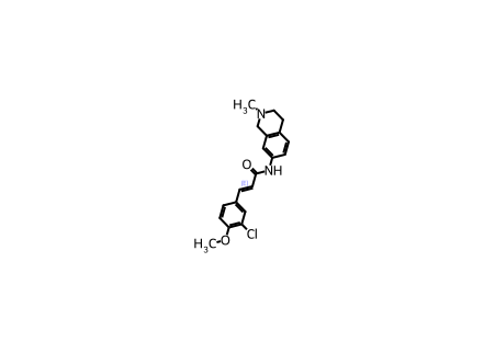 COc1ccc(/C=C/C(=O)Nc2ccc3c(c2)CN(C)CC3)cc1Cl